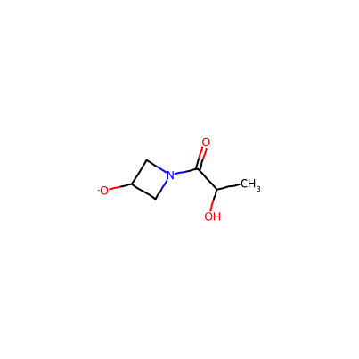 CC(O)C(=O)N1CC([O])C1